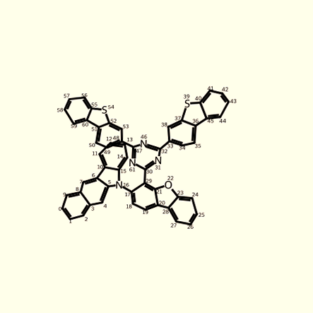 c1ccc2cc3c(cc2c1)c1ccccc1n3-c1ccc2c(oc3ccccc32)c1-c1nc(-c2ccc3c(c2)sc2ccccc23)nc(-c2ccc3c(c2)sc2ccccc23)n1